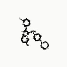 Cc1ccc2nc(-c3cccc(F)n3)c(Nc3ccc(N4CCOCC4)cc3)n2c1